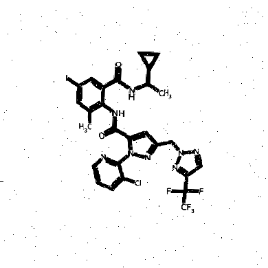 Cc1cc(I)cc(C(=O)NC(C)C2CC2)c1NC(=O)c1cc(Cn2ncc(C(F)(F)C(F)(F)F)n2)nn1-c1ncccc1Cl